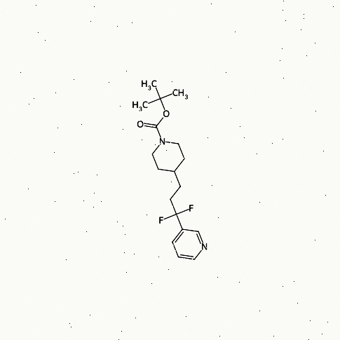 CC(C)(C)OC(=O)N1CCC(CCC(F)(F)c2cccnc2)CC1